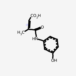 C/C(=C/C(=O)O)C(=O)Nc1cccc(O)c1